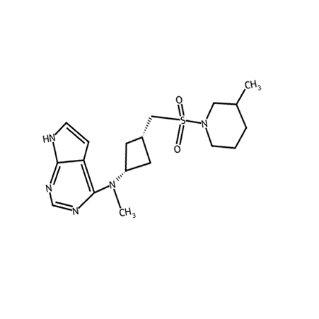 CC1CCCN(S(=O)(=O)C[C@H]2C[C@@H](N(C)c3ncnc4[nH]ccc34)C2)C1